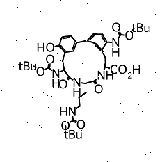 CC(C)(C)OC(=O)NCCC[C@@H]1NC(=O)[C@@H](NC(=O)OC(C)(C)C)Cc2cc(ccc2O)-c2ccc(NC(=O)OC(C)(C)C)c(c2)C[C@@H](C(=O)O)NC1=O